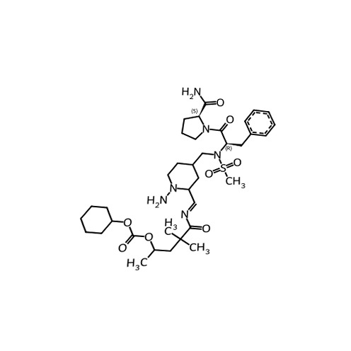 CC(CC(C)(C)C(=O)N=CC1CC(CN([C@H](Cc2ccccc2)C(=O)N2CCC[C@H]2C(N)=O)S(C)(=O)=O)CCN1N)OC(=O)OC1CCCCC1